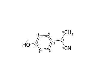 CC(C#N)c1ccc(O)cc1